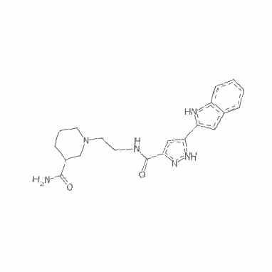 NC(=O)C1CCCN(CCNC(=O)c2cc(-c3cc4ccccc4[nH]3)[nH]n2)C1